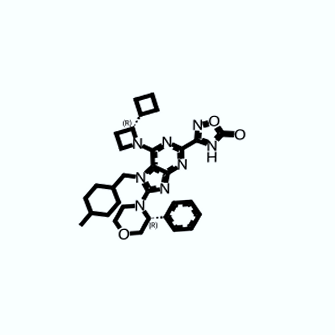 CC1CCC(Cn2c(N3CCOC[C@H]3c3ccccc3)nc3nc(-c4noc(=O)[nH]4)nc(N4CC[C@@H]4C4CCC4)c32)CC1